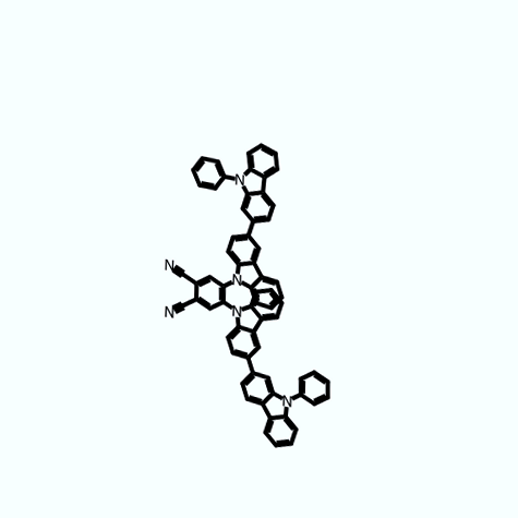 N#Cc1cc(-n2c3ccccc3c3cc(-c4ccc5c6ccccc6n(-c6ccccc6)c5c4)ccc32)c(-n2c3ccccc3c3cc(-c4ccc5c6ccccc6n(-c6ccccc6)c5c4)ccc32)cc1C#N